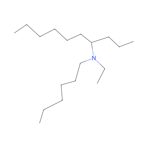 CCCCCCC(CCC)N(CC)CCCCCC